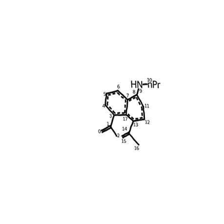 C=C(C)c1cccc2c(NCCC)ccc(C(=C)C)c12